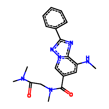 CNc1cc(C(=O)N(C)CC(=O)N(C)C)cn2nc(-c3ccccc3)nc12